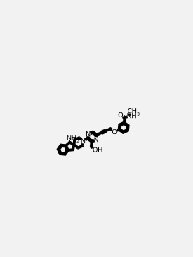 CNC(=O)c1cccc(OCC#Cc2cnc(N3CCC4(CC3)Cc3ccccc3[C@H]4N)c(CO)n2)c1